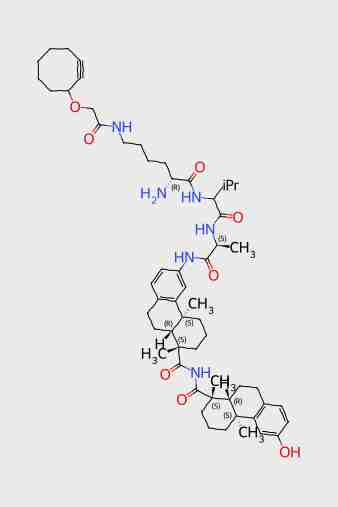 CC(C)C(NC(=O)[C@H](N)CCCCNC(=O)COC1C#CCCCCC1)C(=O)N[C@@H](C)C(=O)Nc1ccc2c(c1)[C@@]1(C)CCC[C@](C)(C(=O)NC(=O)[C@@]3(C)CCC[C@]4(C)c5cc(O)ccc5CC[C@@H]34)[C@@H]1CC2